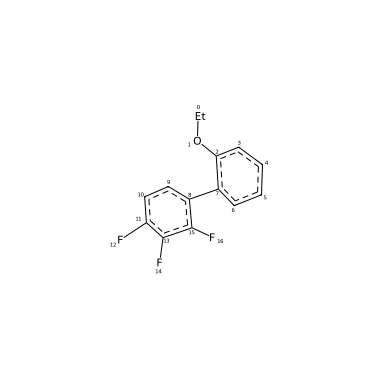 CCOc1ccccc1-c1ccc(F)c(F)c1F